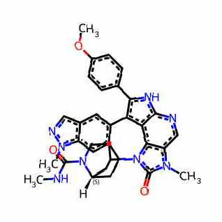 CNC(=O)N1CC2CC[C@H]1CC2n1c(=O)n(C)c2cnc3[nH]c(-c4ccc(OC)cc4)c(-c4ccc5c(cnn5C)c4)c3c21